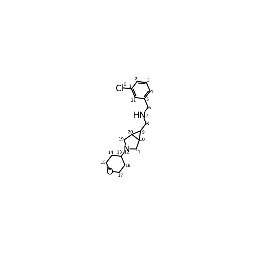 Clc1cccc(CNCC2C3CN(C4CCOCC4)CC23)c1